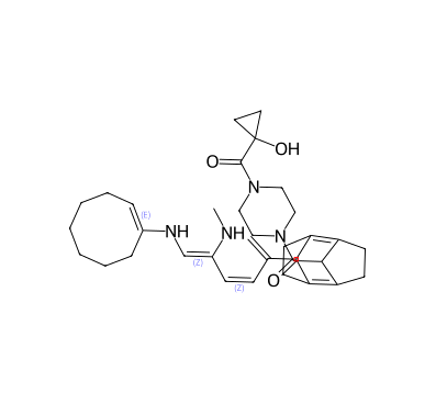 C=C(/C=C\C(=C\N/C1=C/CCCCCC1)NC)C1C2=C3CCC(=C1CC2)C3C(=O)N1CCN(C(=O)C2(O)CC2)CC1